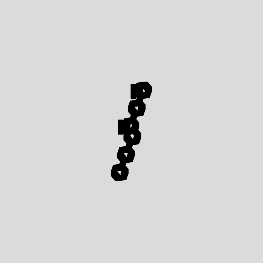 c1ccc(-c2ccc(-c3ccc4cc(-c5ccc(-c6ccccn6)cc5)cnc4c3)cc2)cc1